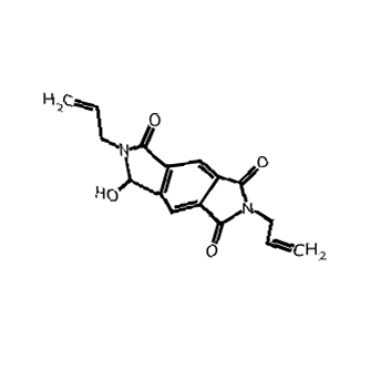 C=CCN1C(=O)c2cc3c(cc2C1=O)C(O)N(CC=C)C3=O